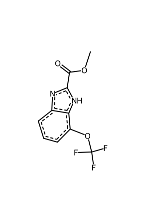 COC(=O)c1nc2cccc(OC(F)(F)F)c2[nH]1